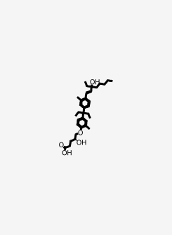 CCCCCC(O)(C=Cc1ccc(C(CC)(CC)c2ccc(OC[C@@H](O)CCC(=O)O)c(C)c2)cc1C)CC